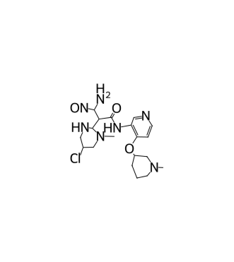 CN1CCCC(Oc2ccncc2NC(=O)C(C(N)N=O)C2NCC(Cl)CN2C)C1